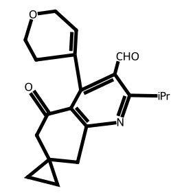 CC(C)c1nc2c(c(C3=CCOCC3)c1C=O)C(=O)CC1(CC1)C2